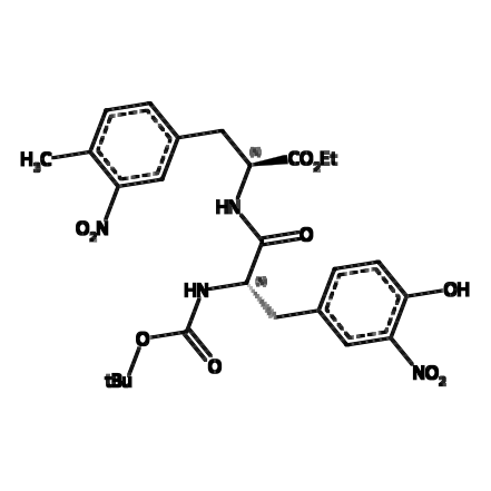 CCOC(=O)[C@H](Cc1ccc(C)c([N+](=O)[O-])c1)NC(=O)[C@H](Cc1ccc(O)c([N+](=O)[O-])c1)NC(=O)OC(C)(C)C